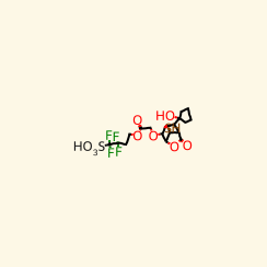 O=C(COC1CC(C2(O)CCCC2)C2C(=O)OC1C2S)OCCC(F)(F)C(F)(F)S(=O)(=O)O